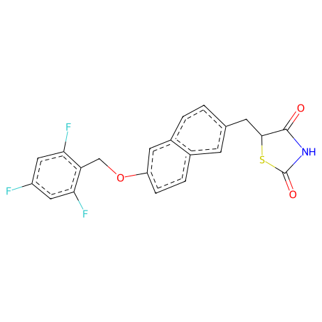 O=C1NC(=O)C(Cc2ccc3cc(OCc4c(F)cc(F)cc4F)ccc3c2)S1